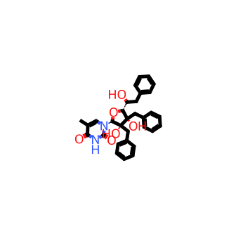 Cc1cn([C@@H]2O[C@H](C(O)Cc3ccccc3)[C@](O)(Cc3ccccc3)[C@@]2(O)Cc2ccccc2)c(=O)[nH]c1=O